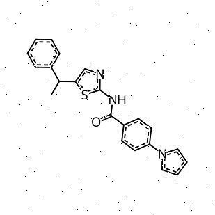 CC(c1ccccc1)c1cnc(NC(=O)c2ccc(-n3cccc3)cc2)s1